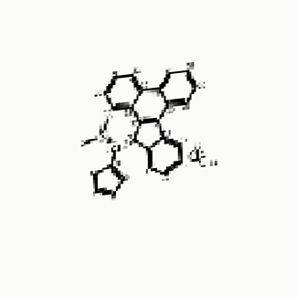 C[Si](C)=[Zr+2]([C]1=CC=CC1)[CH]1c2ccccc2-c2c1c1ccccc1c1ccccc21.[Cl-].[Cl-]